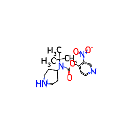 CC(C)(C)N(C(=O)Oc1ccncc1[N+](=O)[O-])C1CCNCC1